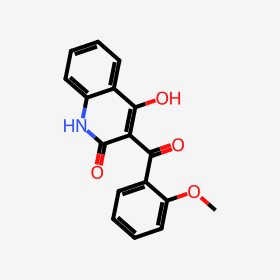 COc1ccccc1C(=O)c1c(O)c2ccccc2[nH]c1=O